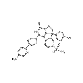 Nc1ccc(-c2ccc(-c3nc4c(c(=O)[nH]3)N=C[N+]4(c3ccc(Cl)cc3)c3cccc(S(N)(=O)=O)c3)cc2)nc1